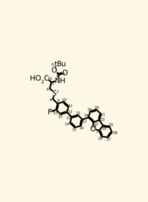 CC(C)(C)OC(=O)NC(CSCc1ccc(-c2cccc(-c3cccc4c3oc3ccccc34)c2)cc1F)C(=O)O